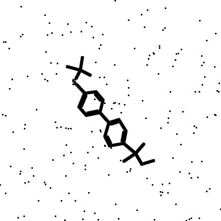 CCC(C)(C)c1ccc(-c2ccc(SC(C)(C)C)cc2)cc1